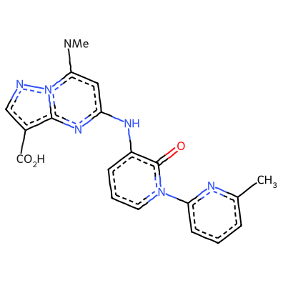 CNc1cc(Nc2cccn(-c3cccc(C)n3)c2=O)nc2c(C(=O)O)cnn12